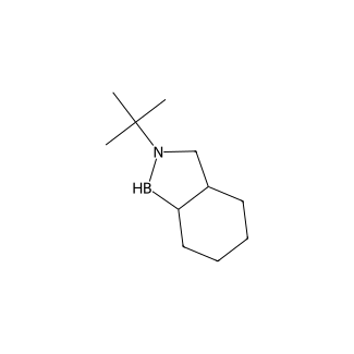 CC(C)(C)N1BC2CCCCC2C1